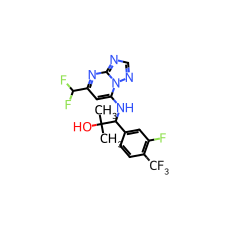 CC(C)(O)C(Nc1cc(C(F)F)nc2ncnn12)c1ccc(C(F)(F)F)c(F)c1